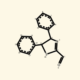 O=CC1=NC(c2ccccc2)C(c2ccccc2)S1